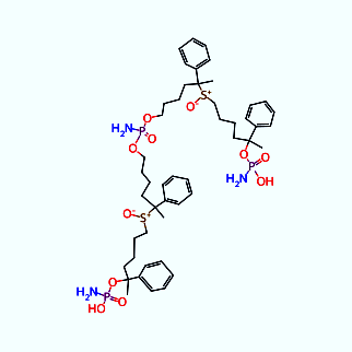 CC(CCCC[S+]([O-])C(C)(CCCCOP(N)(=O)OCCCCC(C)(c1ccccc1)[S+]([O-])CCCCC(C)(OP(N)(=O)O)c1ccccc1)c1ccccc1)(OP(N)(=O)O)c1ccccc1